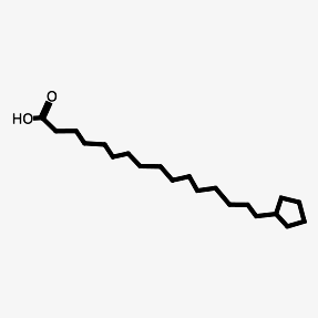 O=C(O)CCCCCCCCCCCCCCCC1CCCC1